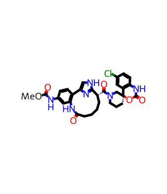 COC(=O)Nc1ccc2c(c1)NC(=O)CCCC[C@@H](C(=O)N1CCC[C@@]3(C1)OC(=O)Nc1ccc(Cl)cc13)c1nc-2c[nH]1